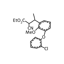 CCOC(=O)C(C#N)C(C)c1cccc(Oc2ccccc2Cl)c1OC